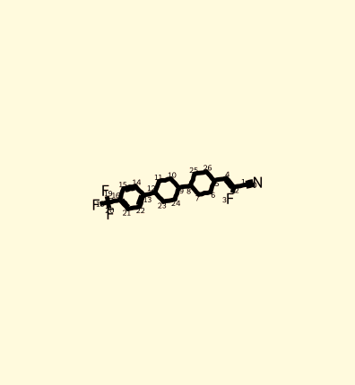 N#CC(F)=CC1CCC(C2CCC(c3ccc(C(F)(F)F)cc3)CC2)CC1